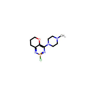 CN1CCN(C2=C3OCCCC3=NS(Cl)=N2)CC1